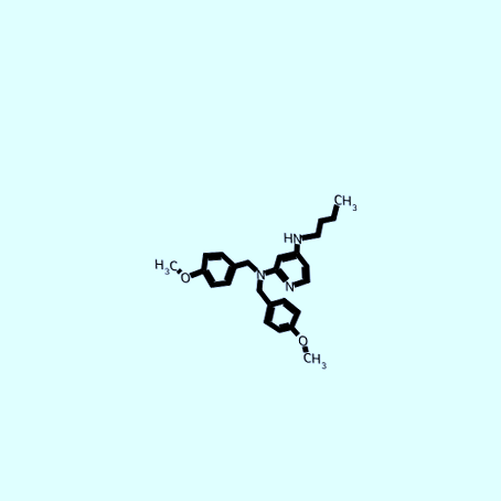 CCCCNc1ccnc(N(Cc2ccc(OC)cc2)Cc2ccc(OC)cc2)c1